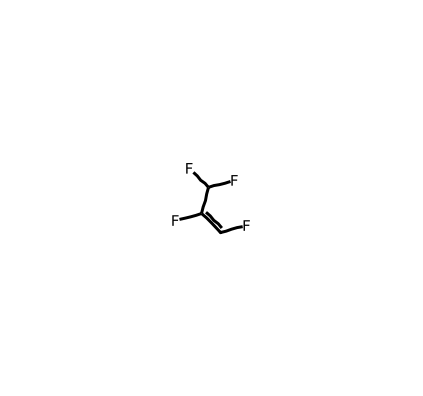 F/C=C(/F)C(F)F